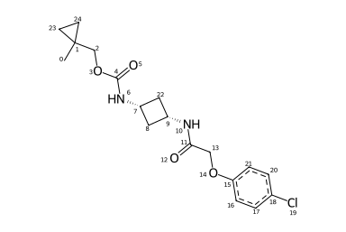 CC1(COC(=O)N[C@H]2C[C@@H](NC(=O)COc3ccc(Cl)cc3)C2)CC1